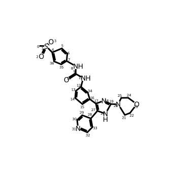 CS(=O)(=O)c1ccc(NC(=O)Nc2cccc(-c3nc(N4CCOCC4)[nH]c3-c3ccncc3)c2)cc1